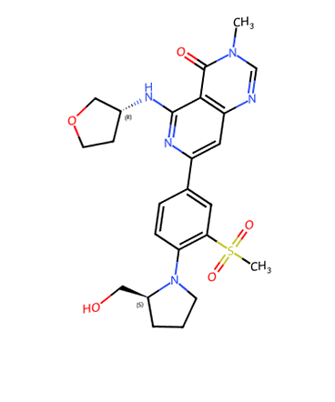 Cn1cnc2cc(-c3ccc(N4CCC[C@H]4CO)c(S(C)(=O)=O)c3)nc(N[C@@H]3CCOC3)c2c1=O